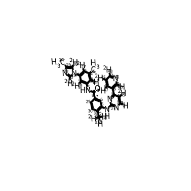 [2H]c1nc(Nc2cc(C(=O)Nc3c([2H])c(C)c([2H])c(-n4c([2H])nc(C)c4[2H])c3[2H])ccc2C([2H])([2H])[2H])nc(-c2c([2H])nc([2H])c([2H])c2[2H])c1[2H]